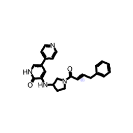 O=C(/C=C/Cc1ccccc1)N1CCC(Nc2cc(-c3ccncc3)c[nH]c2=O)C1